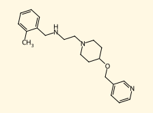 Cc1ccccc1CNCCN1CCC(OCc2cccnc2)CC1